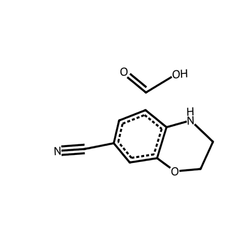 N#Cc1ccc2c(c1)OCCN2.O=CO